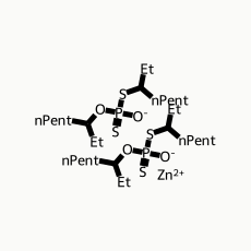 CCCCCC(CC)OP([O-])(=S)SC(CC)CCCCC.CCCCCC(CC)OP([O-])(=S)SC(CC)CCCCC.[Zn+2]